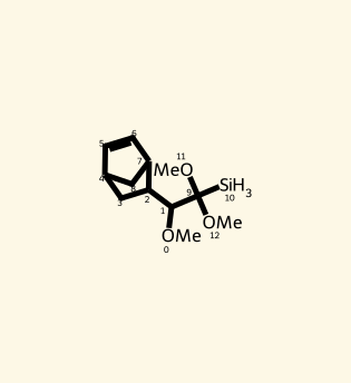 COC(C1CC2C=CC1C2)C([SiH3])(OC)OC